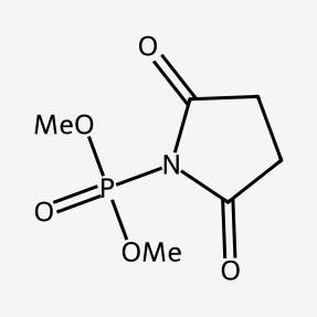 COP(=O)(OC)N1C(=O)CCC1=O